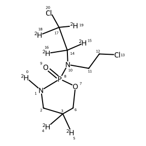 [2H]N1CC([2H])([2H])COP1(=O)N(CCCl)C([2H])([2H])C([2H])([2H])Cl